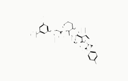 Cc1ccc(S(=O)(=O)n2ccc3c(NC4CCCN(C(=O)CNc5cc(Cl)cc(Cl)c5)C4C)ncnc32)cc1